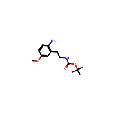 COc1ccc(N)c(CCNC(=O)OC(C)(C)C)c1